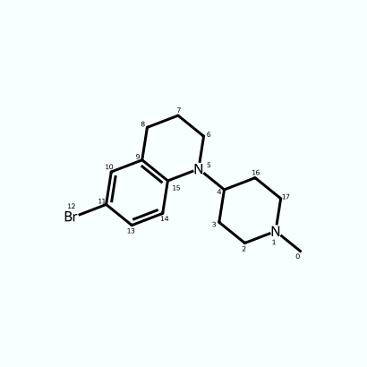 CN1CCC(N2CCCc3cc(Br)ccc32)CC1